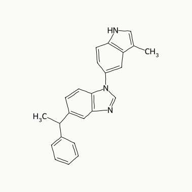 Cc1c[nH]c2ccc(-n3cnc4cc(C(C)c5ccccc5)ccc43)cc12